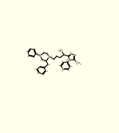 Cc1nnc(C(O)CCCN2CCN(c3ccccc3)CC2Cc2ccccc2)n1-c1ccncc1